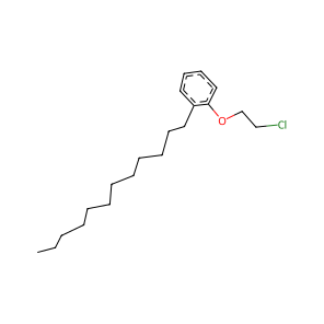 CCCCCCCCCCCCc1ccccc1OCCCl